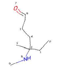 CCC(C)(CCC=O)NC